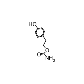 NC(=O)OCCc1ccc(O)cc1